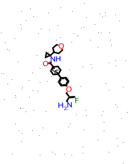 NCC(=CF)COc1ccc(C23CCC(C(=O)NC4(C5CCOCC5)CC4)(CC2)CC3)cc1